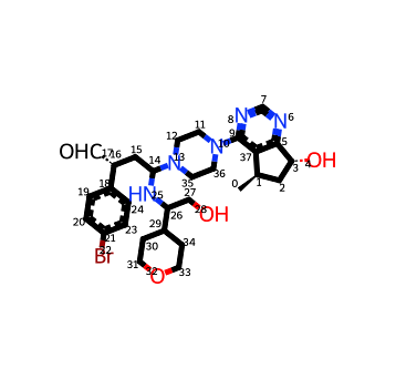 C[C@@H]1C[C@@H](O)c2ncnc(N3CCN(C(C[C@@H](C=O)c4ccc(Br)cc4)NC(CO)C4CCOCC4)CC3)c21